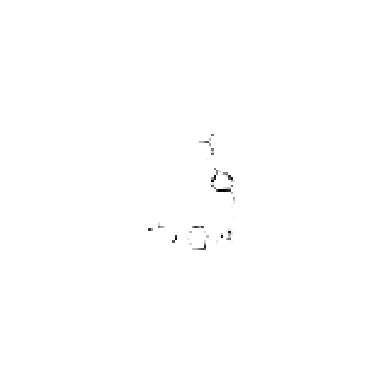 CC(O)CSc1ccc(COC[C@@H]2C[C@@H]2C2CCN(C(=O)OC(C)(C)C)CC2)cc1